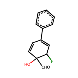 O=CC1(O)C=CC(c2ccccc2)=CC1F